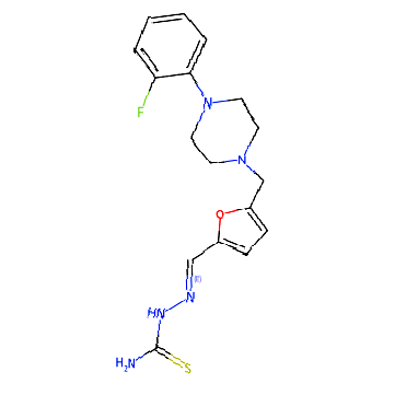 NC(=S)N/N=C/c1ccc(CN2CCN(c3ccccc3F)CC2)o1